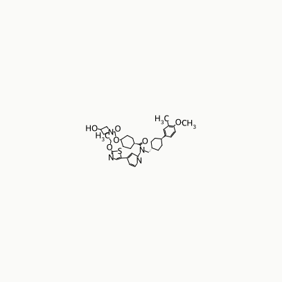 CCOc1ncc(-c2ccnc(N(C[C@H]3CC[C@H](c4ccc(OC)c(C)c4)CC3)C(=O)[C@H]3CC[C@H](OC(=O)N4CC(O)C4)CC3)c2)s1